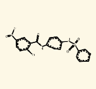 O=C(Nc1ccc(NS(=O)(=O)c2ccccc2)cc1)c1cc([N+](=O)[O-])ccc1Cl